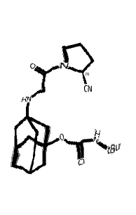 CC(C)(C)NC(=O)OC12CC3CC(CC(NCC(=O)N4CCC[C@H]4C#N)(C3)C1)C2